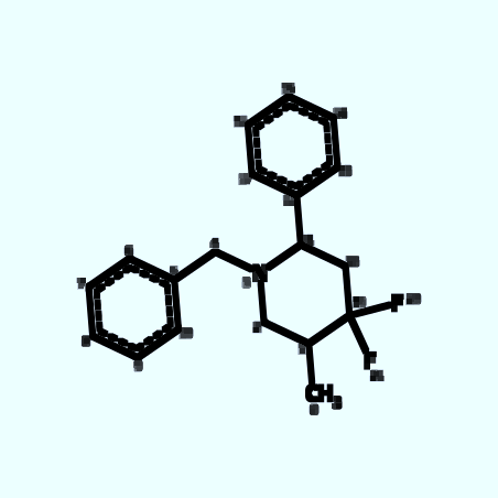 CC1CN(Cc2ccccc2)C(c2ccccc2)CC1(F)F